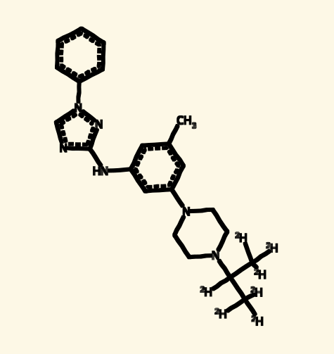 [2H]C([2H])([2H])C([2H])(N1CCN(c2cc(C)cc(Nc3ncn(-c4ccccc4)n3)c2)CC1)C([2H])([2H])[2H]